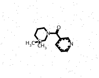 C[Si]1(C)CCCN(C(=O)c2cc[c]nc2)C1